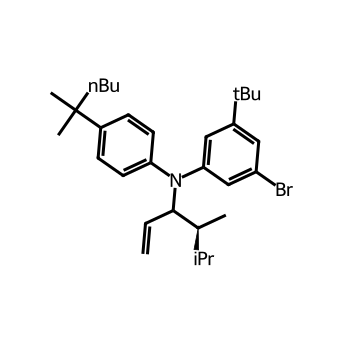 C=CC([C@@H](C)C(C)C)N(c1ccc(C(C)(C)CCCC)cc1)c1cc(Br)cc(C(C)(C)C)c1